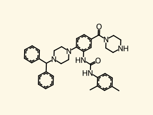 Cc1ccc(NC(=O)Nc2cc(C(=O)N3CCNCC3)ccc2N2CCN(C(c3ccccc3)c3ccccc3)CC2)c(C)c1